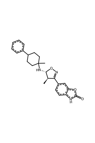 C[C@@H]1C(c2ccc3[nH]c(=O)oc3c2)=NO[C@H]1NC1(C)CCC(c2ccccc2)CC1